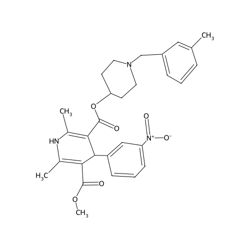 COC(=O)C1=C(C)NC(C)=C(C(=O)OC2CCN(Cc3cccc(C)c3)CC2)C1c1cccc([N+](=O)[O-])c1